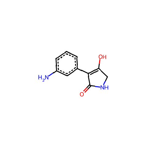 Nc1cccc(C2=C(O)CNC2=O)c1